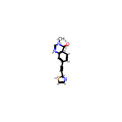 Cn1cnc2cc(C#Cc3nccs3)ccc2c1=O